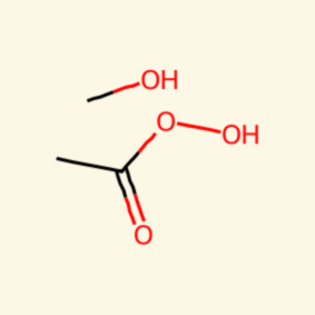 CC(=O)OO.CO